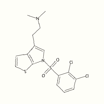 CN(C)CCc1cn(S(=O)(=O)c2cccc(Cl)c2Cl)c2sccc12